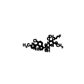 COc1nc(NS(=O)(=O)c2c[nH]c3c(-n4ncc(C)n4)c(Cl)ccc23)nc(OC)c1OCCF